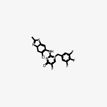 CC1=NC2CC(Cl)=C(Nc3nc(=O)c(F)cn3Cc3cc(F)c(F)c(F)c3)C=C2S1